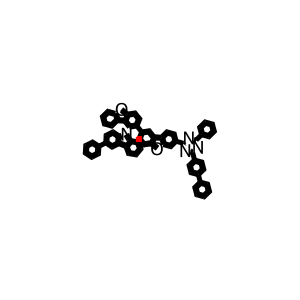 c1ccc(-c2ccc(-c3nc(-c4ccccc4)nc(-c4ccc5c(c4)oc4ccc(-c6ccc7oc8ccccc8c7c6-n6c7ccccc7c7cc(-c8ccccc8)ccc76)cc45)n3)cc2)cc1